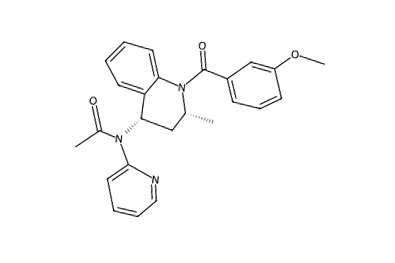 COc1cccc(C(=O)N2c3ccccc3[C@@H](N(C(C)=O)c3ccccn3)C[C@H]2C)c1